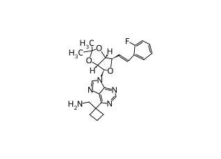 CC1(C)O[C@@H]2[C@H](O1)[C@@H](C=Cc1ccccc1F)O[C@H]2n1cnc2c(C3(CN)CCC3)ncnc21